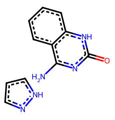 Nc1nc(=O)[nH]c2ccccc12.c1cn[nH]c1